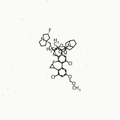 COCOc1cc(Cl)c(C2CC2)c(-c2c(Cl)cc3c(N4CC5CCC(C4)N5C(=O)OC(C)(C)C)nc(OC[C@@]45CCCN4C[C@H](F)C5)nc3c2F)c1